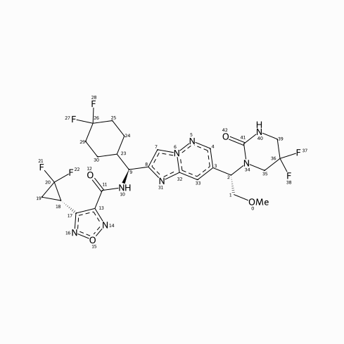 COC[C@H](c1cnn2cc([C@@H](NC(=O)c3nonc3[C@@H]3CC3(F)F)C3CCC(F)(F)CC3)nc2c1)N1CC(F)(F)CNC1=O